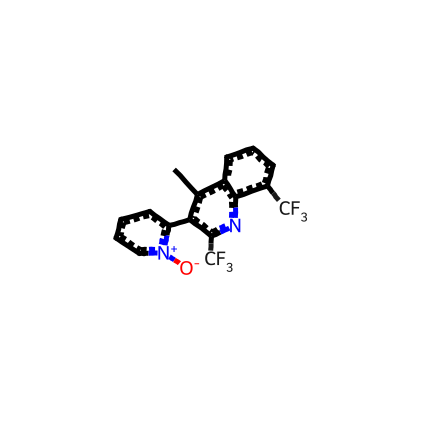 Cc1c(-c2cccc[n+]2[O-])c(C(F)(F)F)nc2c(C(F)(F)F)cccc12